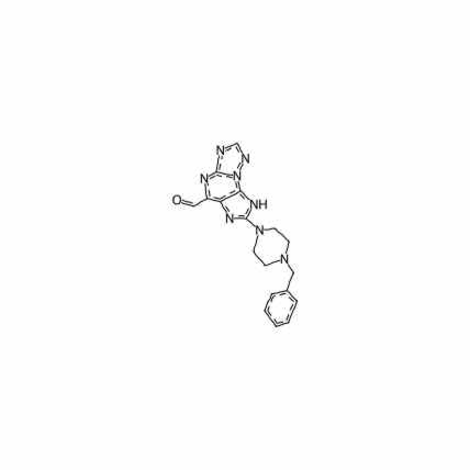 O=Cc1nc2ncnn2c2[nH]c(N3CCN(Cc4ccccc4)CC3)nc12